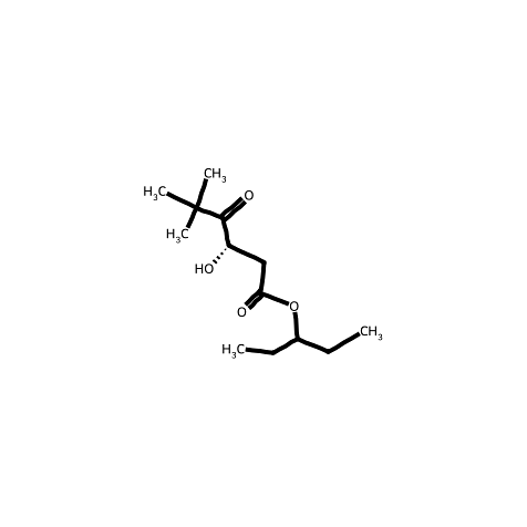 CCC(CC)OC(=O)C[C@H](O)C(=O)C(C)(C)C